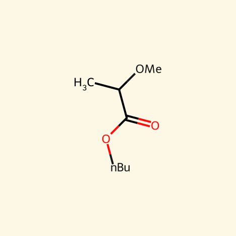 CCCCOC(=O)C(C)OC